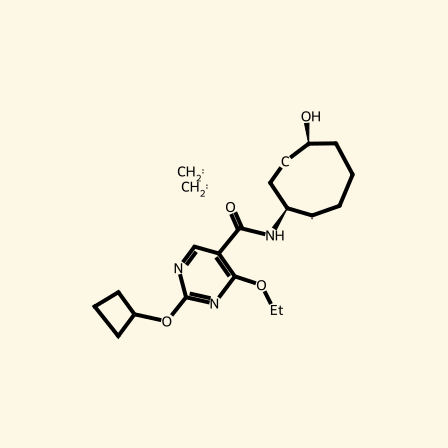 CCOc1nc(OC2CCC2)ncc1C(=O)N[C@@H]1[CH]CCC[C@H](O)CC1.[CH2].[CH2]